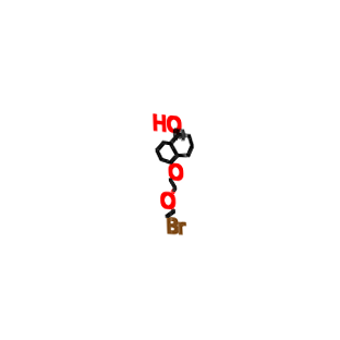 O[C@H]1CCCC2C(OCCOCCBr)CCCC21